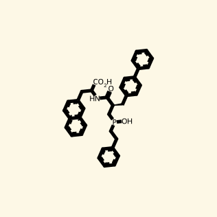 O=C(O)C(Cc1ccc2ccccc2c1)NC(=O)[C@@H](Cc1ccc(-c2ccccc2)cc1)CP(O)CCc1ccccc1